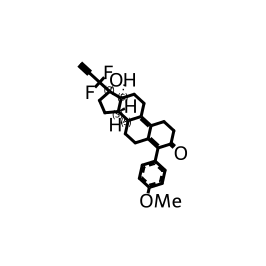 C#CC(F)(F)[C@]1(O)CC[C@H]2[C@@H]3CCC4=C(c5ccc(OC)cc5)C(=O)CCC4=C3CC[C@@]21C